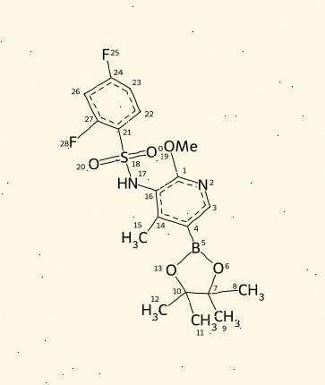 COc1ncc(B2OC(C)(C)C(C)(C)O2)c(C)c1NS(=O)(=O)c1ccc(F)cc1F